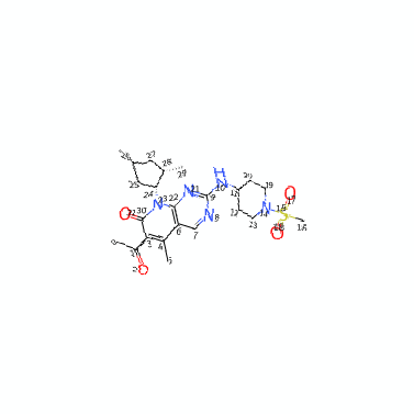 CC(=O)c1c(C)c2cnc(NC3CCN(S(C)(=O)=O)CC3)nc2n([C@@H]2CCC[C@@H]2C)c1=O